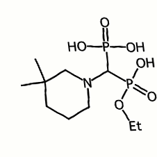 CCOP(=O)(O)C(N1CCCC(C)(C)C1)P(=O)(O)O